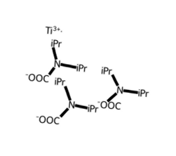 CC(C)N(C(=O)[O-])C(C)C.CC(C)N(C(=O)[O-])C(C)C.CC(C)N(C(=O)[O-])C(C)C.[Ti+3]